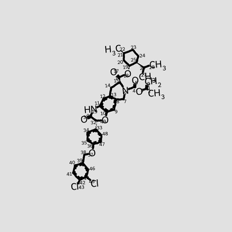 C=C(C)OC(=O)N1Cc2cc3c(cc2C[C@H]1C(=O)O[C@@H]1C[C@H](C)CC[C@H]1C(C)C)NC(=O)[C@@H](c1ccc(OCc2ccc(Cl)c(Cl)c2)cc1)O3